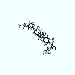 CC(C)(C)OC(=O)N1CCc2cc(S(=O)(=O)N3CCN(c4nc(C(F)(F)F)cs4)CC3)ccc21